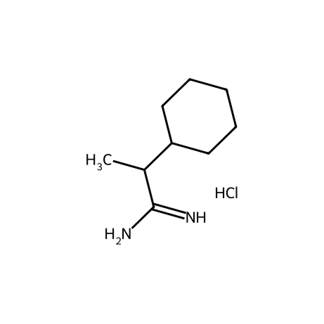 CC(C(=N)N)C1CCCCC1.Cl